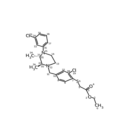 CCOC(=O)CSc1ccc(CN2CCN(c3cccc(Cl)c3)[C@@H](C)[C@@H]2C)cc1Cl